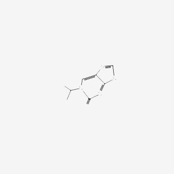 CC(C)n1cc2nc[nH]c2nc1=O